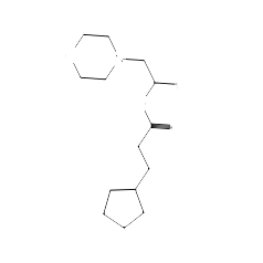 CCCC(CN1CCOCC1)OC(=O)CCC1CCCC1